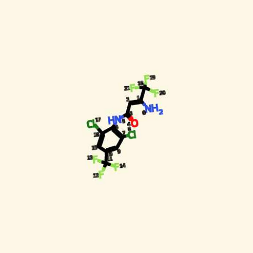 NC(=CC(=O)Nc1c(Cl)cc(C(F)(F)F)cc1Cl)C(F)(F)F